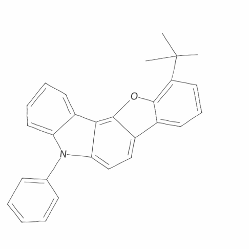 CC(C)(C)c1cccc2c1oc1c2ccc2c1c1ccccc1n2-c1ccccc1